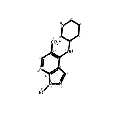 CCn1ncc2c(NC3CCCOC3)c(C(=O)O)cnc21